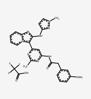 COc1cccc(CC(=O)Nc2cc(-c3c(Nc4ccn(C)n4)nc4ccccn34)nc(C)n2)c1.O=C(O)C(F)(F)F